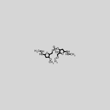 CBBC1CC(OC)C(CSP(=O)(O)OC2CC(BBC)OC2COC)O1